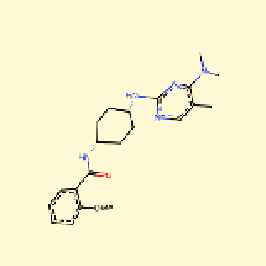 COc1ccccc1C(=O)N[C@H]1CC[C@@H](Nc2ncc(C)c(N(C)C)n2)CC1